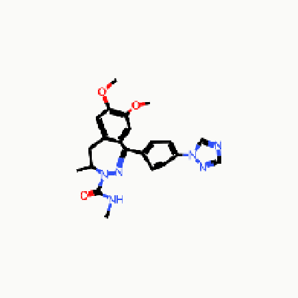 CNC(=O)N1N=C(c2ccc(-n3cncn3)cc2)c2cc(OC)c(OC)cc2CC1C